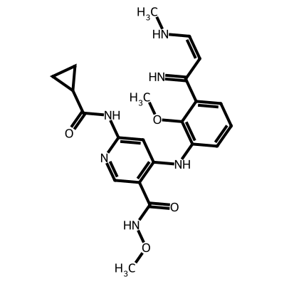 CN/C=C\C(=N)c1cccc(Nc2cc(NC(=O)C3CC3)ncc2C(=O)NOC)c1OC